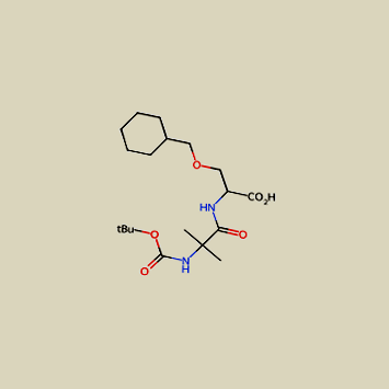 CC(C)(C)OC(=O)NC(C)(C)C(=O)NC(COCC1CCCCC1)C(=O)O